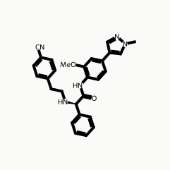 COc1cc(-c2cnn(C)c2)ccc1NC(=O)[C@H](NCCc1ccc(C#N)cc1)c1ccccc1